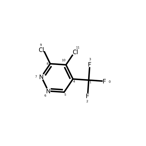 FC(F)(F)c1cnnc(Cl)c1Cl